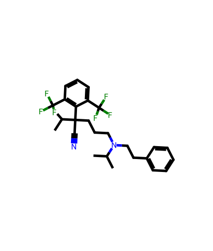 CC(C)N(CCCC(C#N)(c1c(C(F)(F)F)cccc1C(F)(F)F)C(C)C)CCc1ccccc1